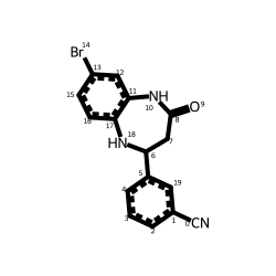 N#Cc1cccc(C2CC(=O)Nc3cc(Br)ccc3N2)c1